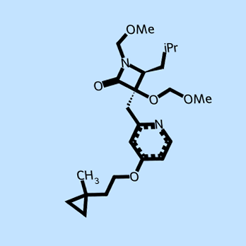 COCO[C@@]1(Cc2cc(OCCC3(C)CC3)ccn2)C(=O)N(COC)[C@H]1CC(C)C